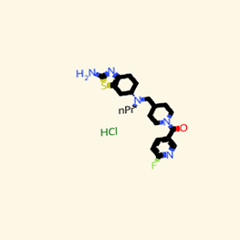 CCCN(CC1CCN(C(=O)c2ccc(F)nc2)CC1)[C@H]1CCc2nc(N)sc2C1.Cl